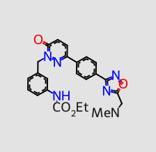 CCOC(=O)Nc1cccc(Cn2nc(-c3ccc(-c4noc(CNC)n4)cc3)ccc2=O)c1